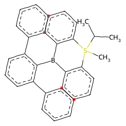 CC(C)S1(C)c2ccccc2B(c2c(-c3ccccc3)cccc2-c2ccccc2)c2ccccc21